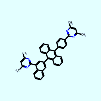 Cc1cc(C)nc(-c2ccc(-c3c4ccccc4c(-c4cc(-c5nc(C)cc(C)n5)c5ccccc5c4)c4ccccc34)cc2)n1